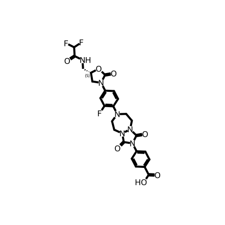 O=C(O)c1ccc(-n2c(=O)n3n(c2=O)CCN(c2ccc(N4C[C@H](CNC(=O)C(F)F)OC4=O)cc2F)CC3)cc1